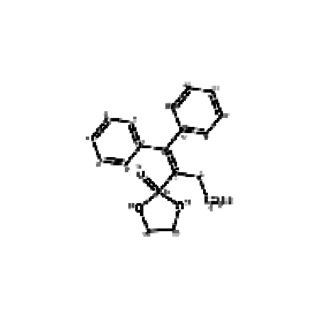 CCOC(=O)CC(=C(c1ccccc1)c1ccccc1)P1(=O)OCCO1